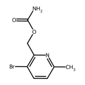 Cc1ccc(Br)c(COC(N)=O)n1